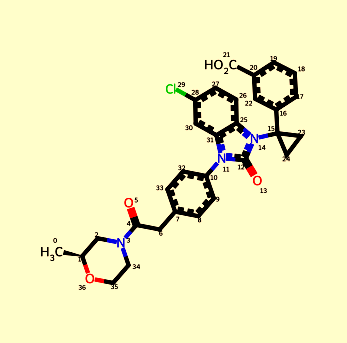 C[C@H]1CN(C(=O)Cc2ccc(-n3c(=O)n(C4(c5cccc(C(=O)O)c5)CC4)c4ccc(Cl)cc43)cc2)CCO1